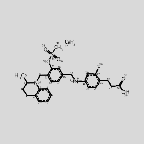 CC1CCc2ccccc2N1Cc1ccc(CNc2ccc(CCC(=O)O)c(F)c2)cc1OS(C)(=O)=O.[CaH2]